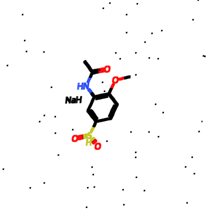 COc1ccc([SH](=O)=O)cc1NC(C)=O.[NaH]